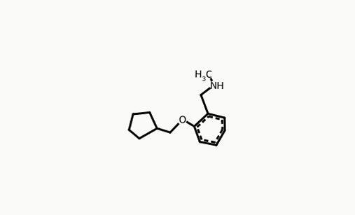 CNCc1ccccc1OCC1CCCC1